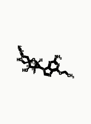 CCOc1nc(N)nc2c1ncn2C1[C@@H]2O[C@@](CO)(CN=[N+]=[N-])[C@@H](O)[C@@]12F